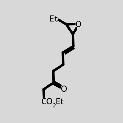 CCOC(=O)CC(=O)CCC=CC1OC1CC